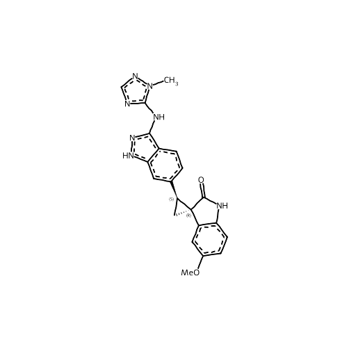 COc1ccc2c(c1)[C@]1(C[C@H]1c1ccc3c(Nc4ncnn4C)n[nH]c3c1)C(=O)N2